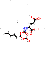 CCCCC[C@@H](OC=O)OC(=O)N[C@@H](CCC(=O)O)C(=O)O